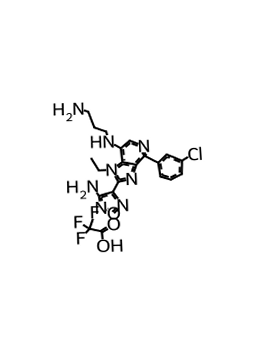 CCn1c(-c2nonc2N)nc2c(-c3cccc(Cl)c3)ncc(NCCCN)c21.O=C(O)C(F)(F)F